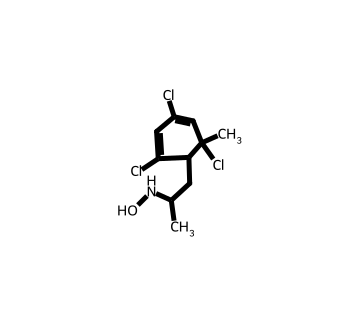 CC(CC1C(Cl)=CC(Cl)=CC1(C)Cl)NO